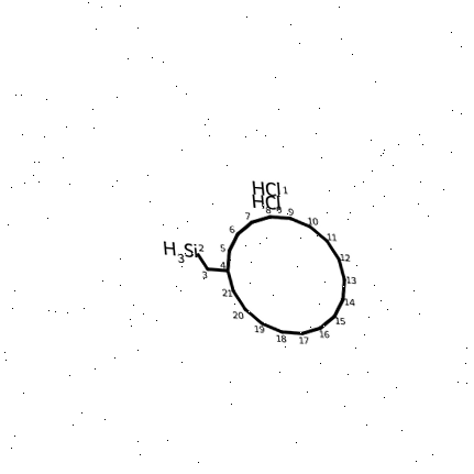 Cl.Cl.[SiH3]CC1CCCCCCCCCCCCCCCCC1